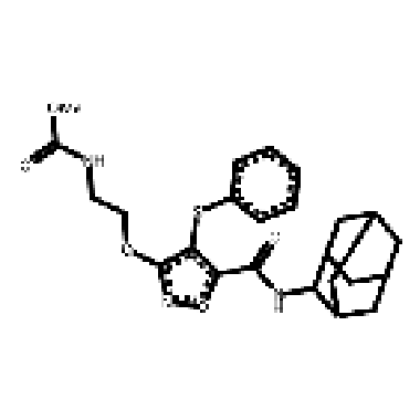 COC(=O)NCCOc1noc(C(=O)NC2C3CC4CC(C3)CC2C4)c1Sc1ccccc1